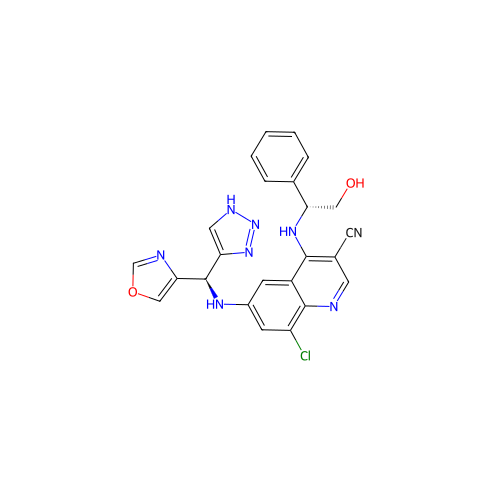 N#Cc1cnc2c(Cl)cc(N[C@@H](c3cocn3)c3c[nH]nn3)cc2c1N[C@@H](CO)c1ccccc1